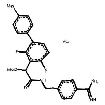 COC(C(=O)NCc1ccc(C(=N)N)cc1)c1c(F)ccc(-c2ccc(SC)cc2)c1F.Cl